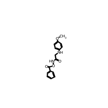 COc1ccc(NCC(=O)NOC(=O)c2ccccc2)cc1